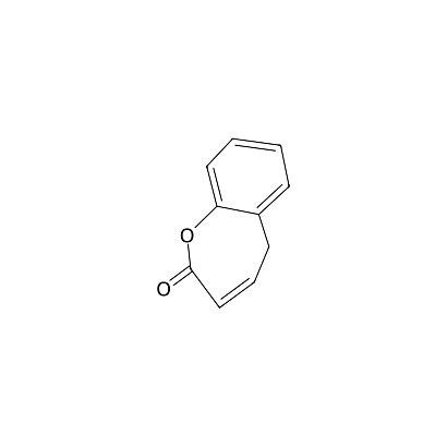 O=C1C=CCc2ccccc2O1